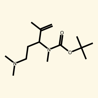 C=C(C)C(CCN(C)C)N(C)C(=O)OC(C)(C)C